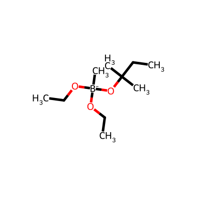 CCO[B-](C)(OCC)OC(C)(C)CC